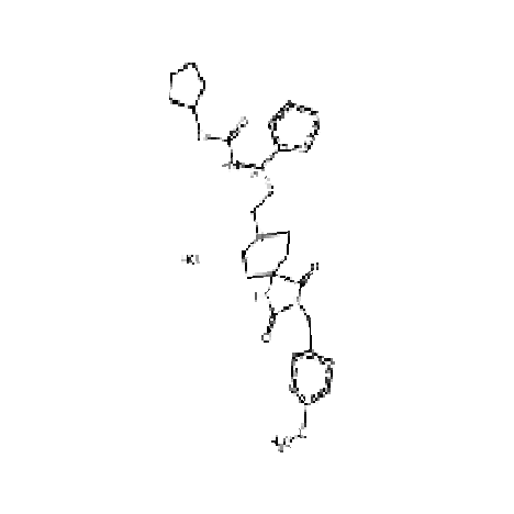 COc1ccc(CN2C(=O)NC3(CCN(CC[C@H](NC(=O)OC4CCCC4)c4ccccc4)CC3)C2=O)cc1.Cl